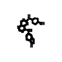 OC1CCC(Nc2ncc3ncnc(Nc4ccc5[nH]ccc5c4)c3n2)CC1